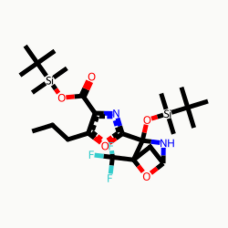 CCCc1oc(C2(O[Si](C)(C)C(C)(C)C)NC3CC2(C(F)(F)F)O3)nc1C(=O)O[Si](C)(C)C(C)(C)C